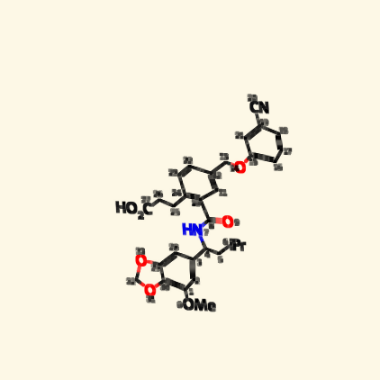 COc1cc(C(CC(C)C)NC(=O)c2cc(COc3cccc(C#N)c3)ccc2CCC(=O)O)cc2c1OCO2